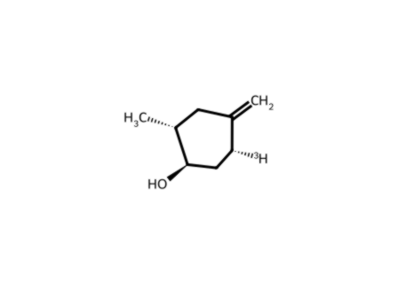 [3H][C@@H]1C[C@@H](O)[C@H](C)CC1=C